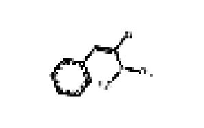 CCC(=Cc1ccccc1)P(C)C